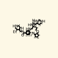 CCC1CNCCC1CNC(=O)c1cccc(NCC2NNC(C3CCNCN3)N2CCOC2CCCC2N)c1